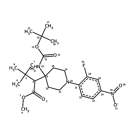 COC(=O)C(C(C)(C)C)C1(NC(=O)OC(C)(C)C)CCN(c2ccc([N+](=O)[O-])cc2F)CC1